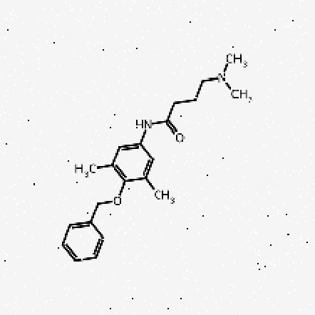 Cc1cc(NC(=O)CCCN(C)C)cc(C)c1OCc1ccccc1